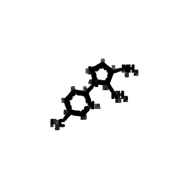 Nc1cnn(-c2ccc(C(F)(F)F)cn2)c1N